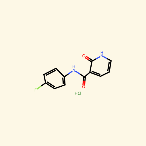 Cl.O=C(Nc1ccc(F)cc1)c1ccc[nH]c1=O